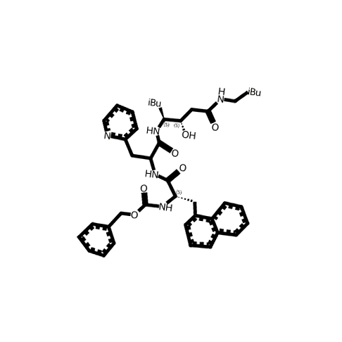 CCC(C)CNC(=O)C[C@H](O)[C@@H](NC(=O)C(Cc1ccccn1)NC(=O)[C@H](Cc1cccc2ccccc12)NC(=O)OCc1ccccc1)C(C)CC